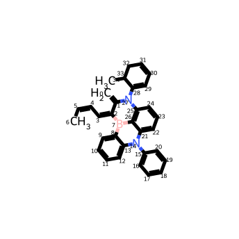 C=C1/C(=C\C=C/C)B2c3ccccc3N(c3ccccc3)c3cccc(c32)N1C1=CC=CCC1C